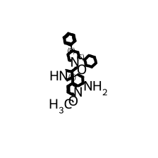 COc1ccc2c(n1)C(N)CC[C@]21CNCC1C(=O)N1CC[C@@H](c2ccccc2)C[C@H]1C1CCCCC1